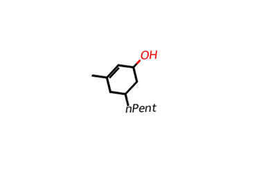 CCCCCC1CC(C)=CC(O)C1